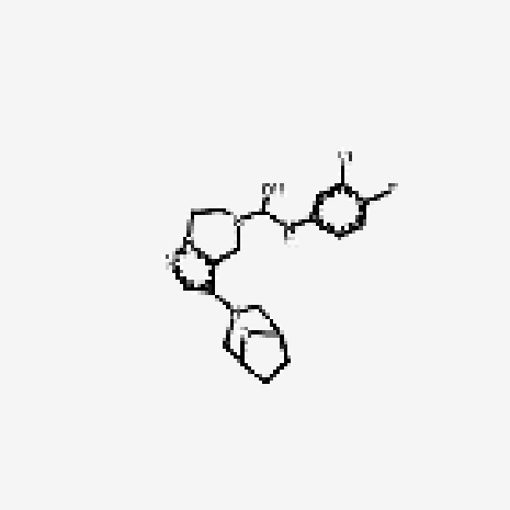 OC(Nc1ccc(F)c(Cl)c1)N1CCn2ncc(N3CC4CCC(C3)O4)c2C1